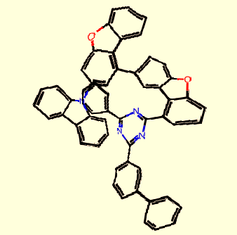 c1ccc(-c2cccc(-c3nc(-c4ccccc4)nc(-c4cccc5oc6ccc(-c7cc(-n8c9ccccc9c9ccccc98)cc8oc9ccccc9c78)cc6c45)n3)c2)cc1